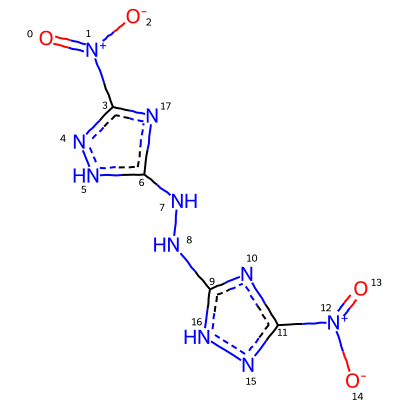 O=[N+]([O-])c1n[nH]c(NNc2nc([N+](=O)[O-])n[nH]2)n1